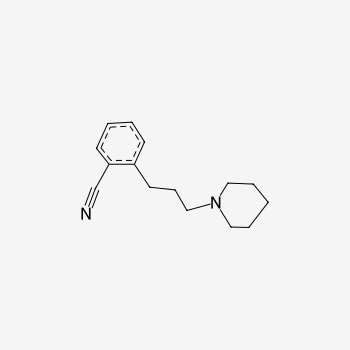 N#Cc1ccccc1CCCN1CCCCC1